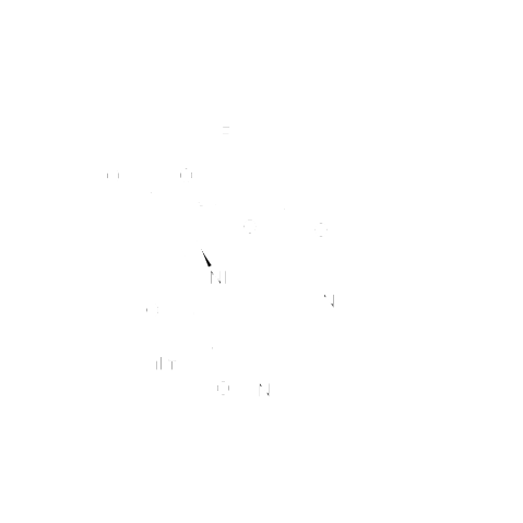 CC(C)C1(C(=O)N[C@H]2CC(=O)O[C@@]2(CF)OC(=O)c2ccccc2)CC(c2nccc3ccccc23)=NO1